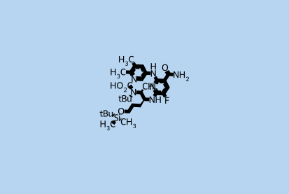 Cc1cc(Nc2nc(N[C@@H](CCCO[Si](C)(C)C(C)(C)C)[C@H](C)N(C(=O)O)C(C)(C)C)c(F)cc2C(N)=O)cnc1C